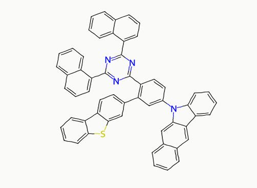 c1ccc2cc3c(cc2c1)c1ccccc1n3-c1ccc(-c2nc(-c3cccc4ccccc34)nc(-c3cccc4ccccc34)n2)c(-c2ccc3c(c2)sc2ccccc23)c1